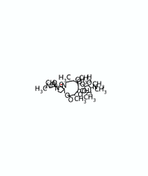 CO[C@]1(C)C[C@@H](C)CN(C)C2(CCN(C(=O)CN(C)C)C2)COC(=O)[C@H](C)C(=O)[C@H](C)[C@H]1O[C@@H]1O[C@H](C)C[C@H](N(C)C)[C@H]1O